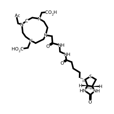 CC(=O)CN1CCN(CC(=O)O)CCN(CC(=O)NCNC(=O)CCCC[C@@H]2SC[C@@H]3NC(=O)N[C@@H]32)CCN(CC(=O)O)CC1